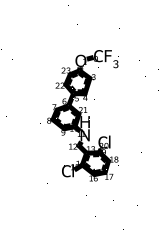 FC(F)(F)Oc1ccc(-c2cccc(NCc3c(Cl)cccc3Cl)c2)cc1